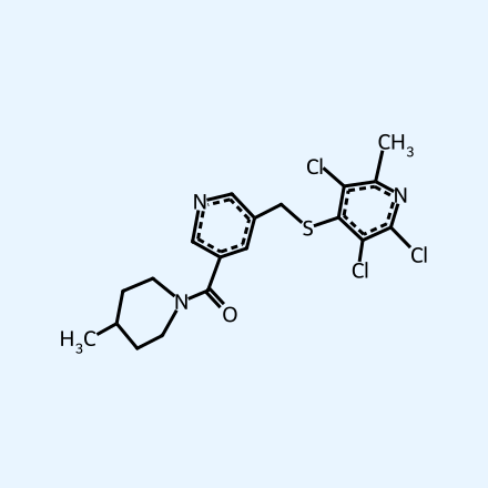 Cc1nc(Cl)c(Cl)c(SCc2cncc(C(=O)N3CCC(C)CC3)c2)c1Cl